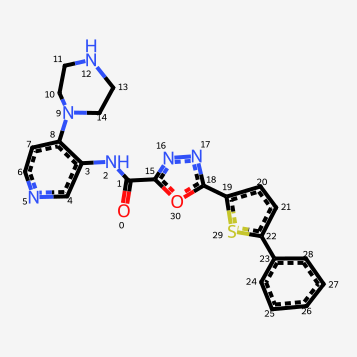 O=C(Nc1cnccc1N1CCNCC1)c1nnc(-c2ccc(-c3ccccc3)s2)o1